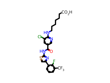 O=C(O)CCCCCCNc1ncc(C(=O)Nc2nc(-c3cccc(C(F)(F)F)c3F)cs2)cc1Cl